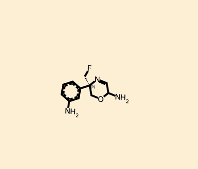 Nc1cccc([C@]2(CF)COC(N)C=N2)c1